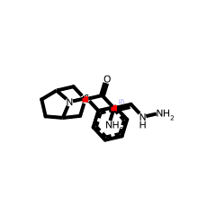 NN/C=C(\N)C(=O)N1CC2CCC(C1)N2Sc1ccccc1